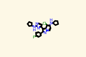 Fc1ccc(-c2nn3ccc(NC4CCCC4)c(Cl)c3c2-c2ccnc(NC3CCCC3)n2)cc1